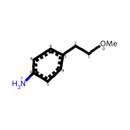 COCCc1ccc(N)cc1